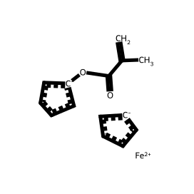 C=C(C)C(=O)O[c-]1cccc1.[Fe+2].c1cc[cH-]c1